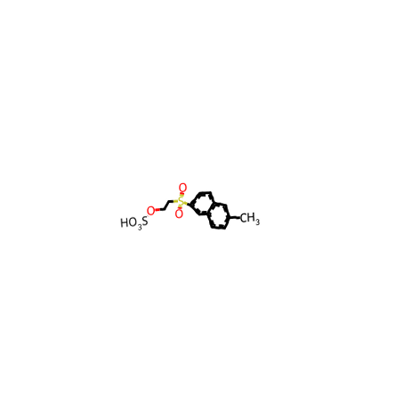 Cc1ccc2cc(S(=O)(=O)CCOS(=O)(=O)O)ccc2c1